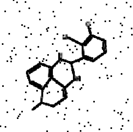 CC1CC=C2NC(c3cccc(Cl)c3Cl)Nc3cccc1c32